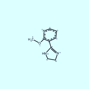 COc1ncccc1C1=NCCN1